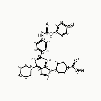 COC(=O)N1CCC(n2ncc3c(N4CCOCC4)nc(-c4ccc(NC(=O)Oc5ccc(Cl)cc5)cc4)nc32)CC1